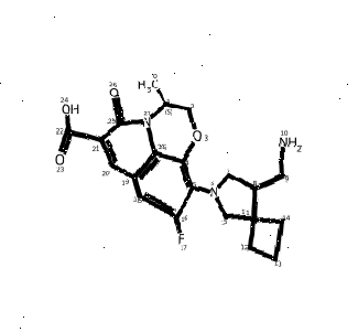 C[C@H]1COc2c(N3CC(CN)C4(CCC4)C3)c(F)cc3cc(C(=O)O)c(=O)n1c23